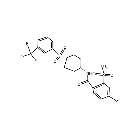 CS(=O)(=O)c1cc(Cl)ccc1C(=O)N[C@H]1CC[C@@H](S(=O)(=O)c2cccc(C(F)(F)F)c2)CC1